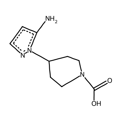 Nc1ccnn1C1CCN(C(=O)O)CC1